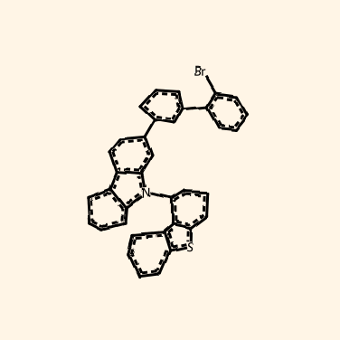 Brc1ccccc1-c1cccc(-c2ccc3c4ccccc4n(-c4cccc5sc6ccccc6c45)c3c2)c1